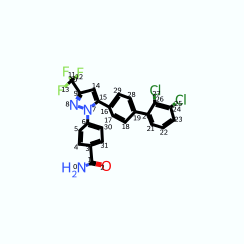 NC(=O)c1ccc(-n2nc(C(F)(F)F)cc2-c2ccc(-c3cccc(Cl)c3Cl)cc2)cc1